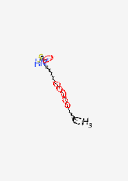 CCCCCCCCCCOCCOCCOCCOCCOCCCCCCCCCCCCNC(=O)c1ccsc1